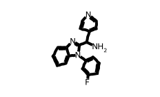 NC(c1ccncc1)c1nc2ccccc2n1-c1cccc(F)c1